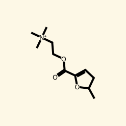 CC1CC=C(C(=O)OCC[N+](C)(C)C)O1